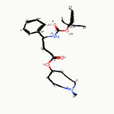 CN1CCC(OC(=O)CC(NC(=O)OC(C)(C)C)c2ccccc2)CC1